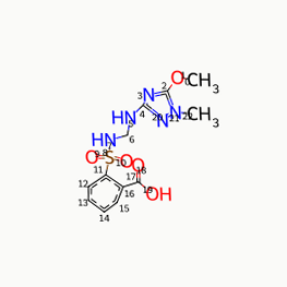 COc1nc(NCNS(=O)(=O)c2ccccc2C(=O)O)nn1C